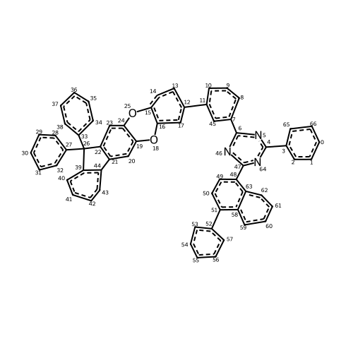 c1ccc(-c2nc(-c3cccc(-c4ccc5c(c4)Oc4cc6c(cc4O5)C(c4ccccc4)(c4ccccc4)c4ccccc4-6)c3)nc(-c3ccc(-c4ccccc4)c4ccccc34)n2)cc1